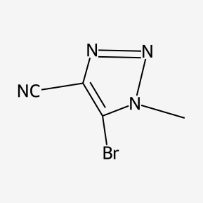 Cn1nnc(C#N)c1Br